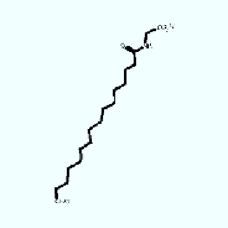 O=CCCCCCCCCCCCCCCC(=O)NCC(=O)O